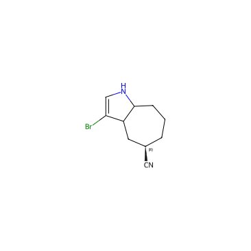 N#C[C@@H]1CCCC2NC=C(Br)C2C1